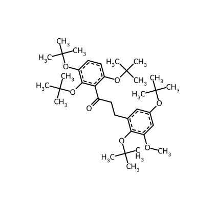 COc1cc(OC(C)(C)C)cc(CCC(=O)c2c(OC(C)(C)C)ccc(OC(C)(C)C)c2OC(C)(C)C)c1OC(C)(C)C